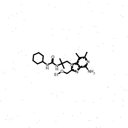 CCOCc1nc2c(N)nc(C)c(C)c2n1CC(C)(C)NC(=O)NC1CCCCC1